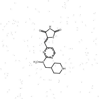 CN(CC1CCNCC1)c1nccc(/C=C2\SC(=O)NC2=O)n1